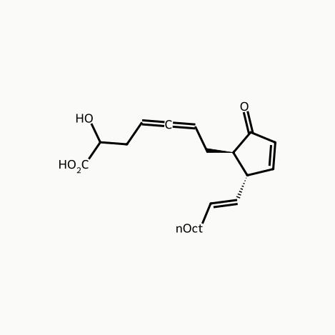 CCCCCCCCC=C[C@H]1C=CC(=O)[C@@H]1CC=C=CCC(O)C(=O)O